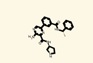 C[C@H](NC(=O)c1cccc(-c2cnc(N)c(C(=O)N[C@H]3CCNC3)n2)c1)c1ccccc1